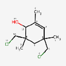 CC1=CC(C)(CCl)CC(C)(CCl)C1O